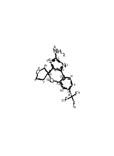 Nc1nc2c(s1)C1(CCOC1)Oc1cc(C(F)(F)F)ccc1-2